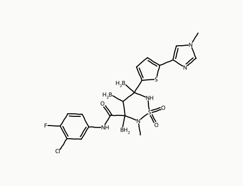 BC1C(B)(c2ccc(-c3cn(C)cn3)s2)NS(=O)(=O)N(C)C1(B)C(=O)Nc1ccc(F)c(Cl)c1